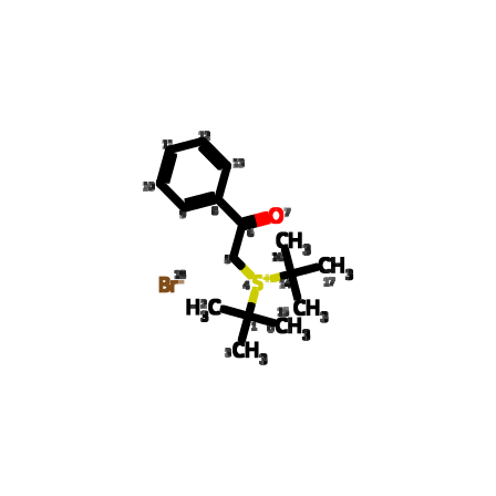 CC(C)(C)[S+](CC(=O)c1ccccc1)C(C)(C)C.[Br-]